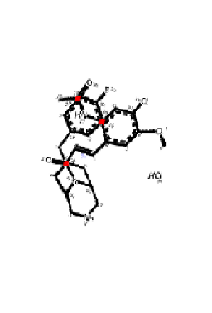 COc1cc(/C=C/C(=O)N2C3CNCC2CN(Cc2ccc(F)cc2)C3)c(NC(C)=O)cc1Cl.Cl